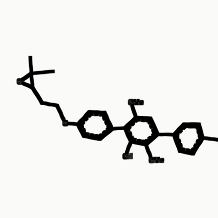 COc1cc(-c2ccc(F)cc2)c(OC)c(O)c1-c1ccc(OCCC2OC2(C)C)cc1